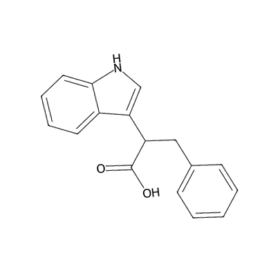 O=C(O)C(Cc1ccccc1)c1c[nH]c2ccccc12